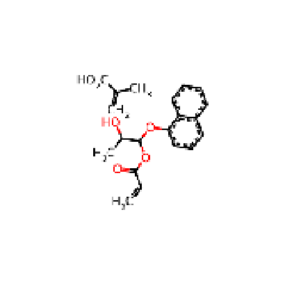 C=C(C)C(=O)O.C=CC(=O)OC(Oc1cccc2ccccc12)C(C)O